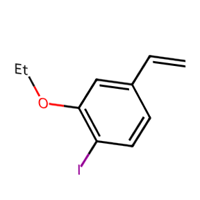 C=Cc1ccc(I)c(OCC)c1